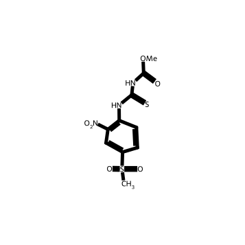 COC(=O)NC(=S)Nc1ccc(S(C)(=O)=O)cc1[N+](=O)[O-]